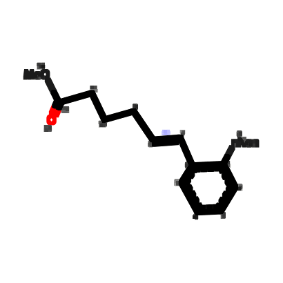 CCCCCCCCCc1ccccc1/C=C/CCCC(=O)OC